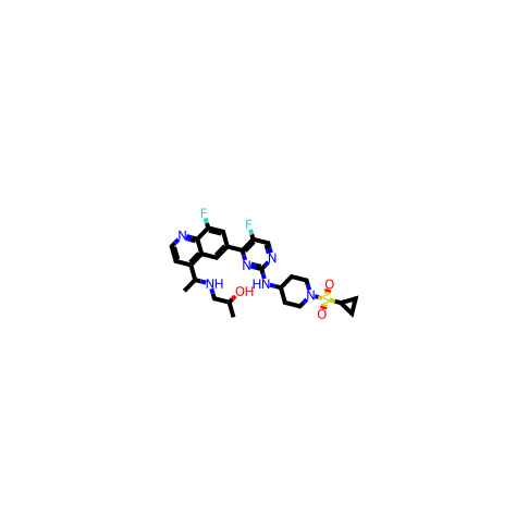 CC(O)CNC(C)c1ccnc2c(F)cc(-c3nc(NC4CCN(S(=O)(=O)C5CC5)CC4)ncc3F)cc12